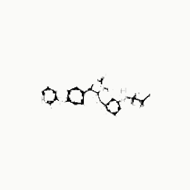 O=C(O)N1C(=O)OC(c2ccc(Oc3cccnc3)cc2)C1Cc1cccc(OC(F)(F)C(F)F)c1